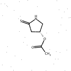 CC(=O)O[C@H]1CNC(=S)C1